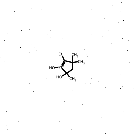 CCC1=[N+](O)C(C)(O)CC1(C)C